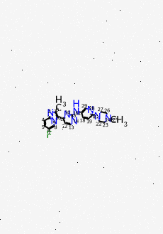 Cc1nc2ccc(F)cn2c1-c1ccnc(Nc2ccc(N3CCN(C)CC3)nc2)n1